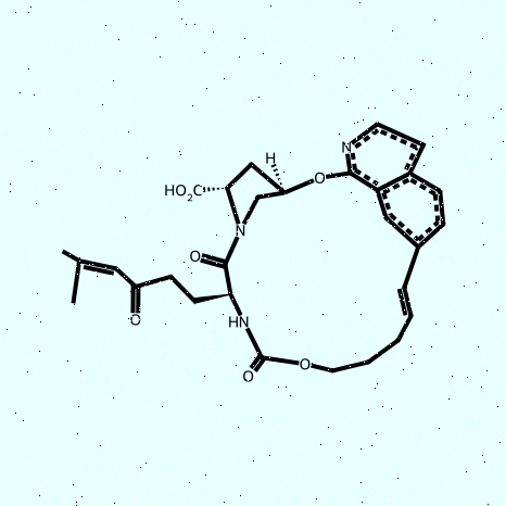 CC(C)=CC(=O)CC[C@@H]1NC(=O)OCCC/C=C/c2ccc3ccnc(c3c2)O[C@@H]2C[C@@H](C(=O)O)N(C2)C1=O